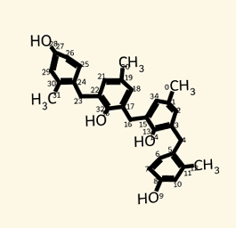 Cc1cc(Cc2ccc(O)cc2C)c(O)c(Cc2cc(C)cc(Cc3ccc(O)cc3C)c2O)c1